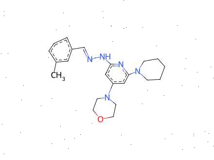 Cc1cccc(C=NNc2cc(N3CCOCC3)cc(N3CCCCC3)n2)c1